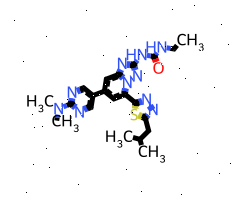 CCNC(=O)Nc1nc2cc(-c3cnc(N(C)C)nc3)cc(-c3nnc(CC(C)C)s3)n2n1